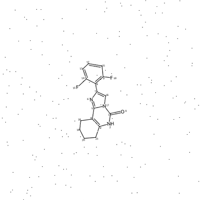 O=c1[nH]c2c(c3nc(-c4c(F)cccc4F)cn13)CCCC2